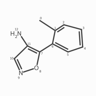 Cc1ccccc1-c1oncc1N